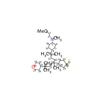 COCCN(C)C1CCC(C(C)(C)CCC(C)(CCC(C)(C)C2CCOCC2)C2CCC(F)(F)CC2)CC1